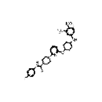 O=[N+]([O-])c1ccc(NC2CCC(Oc3cccc(N4CCN(C(=S)Nc5ccc(F)cc5)CC4)n3)CC2)cc1C(F)(F)F